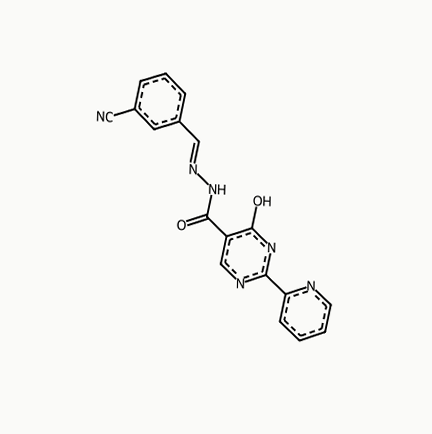 N#Cc1cccc(C=NNC(=O)c2cnc(-c3ccccn3)nc2O)c1